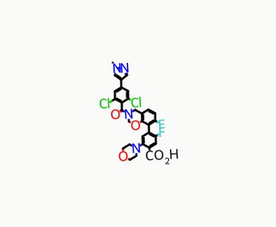 Cn1cc(-c2cc(Cl)c(C(=O)N3COc4c(ccc(F)c4-c4cc(N5CCOCC5)c(C(=O)O)cc4F)C3)c(Cl)c2)cn1